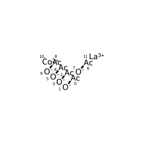 CC(=O)[O-].CC(=O)[O-].CC(=O)[O-].CC(=O)[O-].CC(=O)[O-].[Co+2].[La+3]